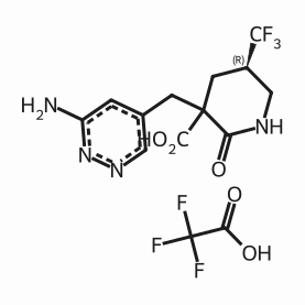 Nc1cc(CC2(C(=O)O)C[C@@H](C(F)(F)F)CNC2=O)cnn1.O=C(O)C(F)(F)F